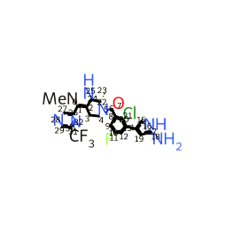 CN/C(=C1/CCN(C(=O)c2cc(F)cc(-c3c[nH]c(N)c3)c2Cl)[C@@H](C)C1=N)c1cncc(C(F)(F)F)n1